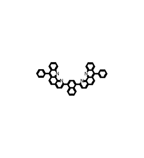 c1ccc(-c2c3ccccc3nc3c2ccc2ccc(-c4ccc(-c5ccc6ccc7c(-c8ccccc8)c8ccccc8nc7c6n5)c5ccccc45)nc23)cc1